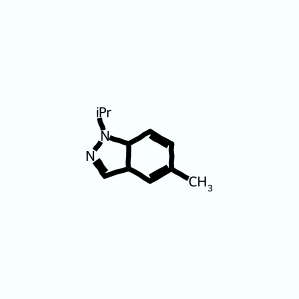 CC1=CC2C=NN(C(C)C)C2C=C1